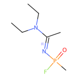 CCN(CC)/C(C)=N/P(C)(=O)F